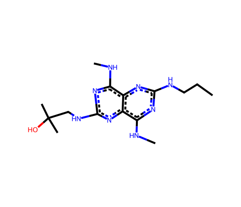 CCCNc1nc(NC)c2nc(NCC(C)(C)O)nc(NC)c2n1